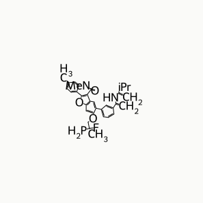 C=C(NC(=C)C(C)C)c1cccc(-c2cc3c(C(=O)NC)c(-c4ccc(C)cc4)oc3cc2OCC(C)(F)P)c1